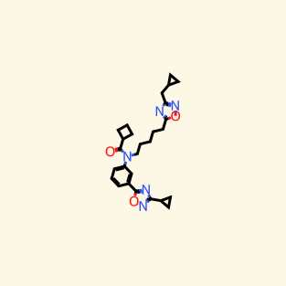 O=C(C1CCC1)N(CCCCCc1nc(CC2CC2)no1)c1cccc(-c2nc(C3CC3)no2)c1